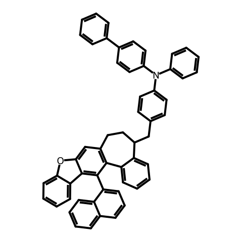 c1ccc(-c2ccc(N(c3ccccc3)c3ccc(CC4CCc5cc6oc7ccccc7c6c(-c6cccc7ccccc67)c5-c5ccccc54)cc3)cc2)cc1